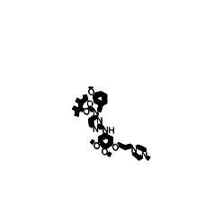 CCC(C)C(OC(=O)N(Cc1cccc(OC)c1)c1ccnc(Nc2cc(OC)c(OC)c(OCCCN3CCN(C)CC3)c2)n1)C(C)C